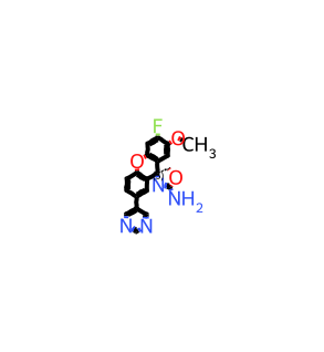 COc1cc2c(cc1F)Oc1ccc(-c3cncnc3)cc1[C@@]21COC(N)=N1